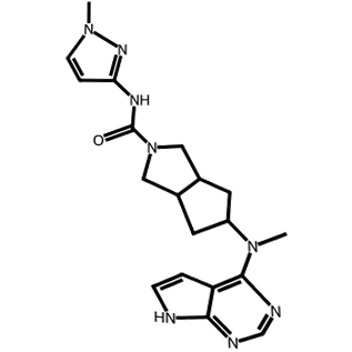 CN(c1ncnc2[nH]ccc12)C1CC2CN(C(=O)Nc3ccn(C)n3)CC2C1